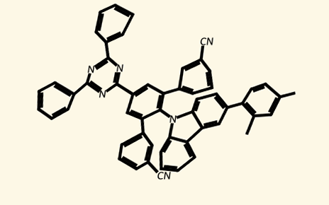 Cc1ccc(-c2ccc3c(c2)c2ccccc2n3-c2c(-c3cccc(C#N)c3)cc(-c3nc(-c4ccccc4)nc(-c4ccccc4)n3)cc2-c2cccc(C#N)c2)c(C)c1